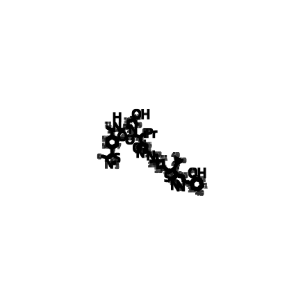 Cc1ncsc1-c1ccc(C(C)NC(=O)[C@@H]2C[C@@H](O)CN2C(=O)C(c2cc(N3CC4(CC(c5sc6nnc(-c7ccccc7O)cc6c5C5CC5)C4)C3)no2)C(C)C)cc1